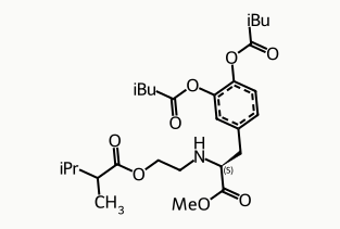 CCC(C)C(=O)Oc1ccc(C[C@H](NCCOC(=O)C(C)C(C)C)C(=O)OC)cc1OC(=O)C(C)CC